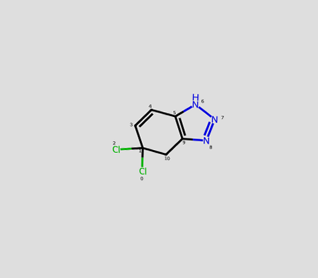 ClC1(Cl)C=Cc2[nH]nnc2C1